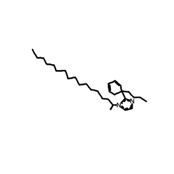 CCCCCCCCCCCCCCCC(C)n1ccnc1C1(CCCC)C=CC=CC1